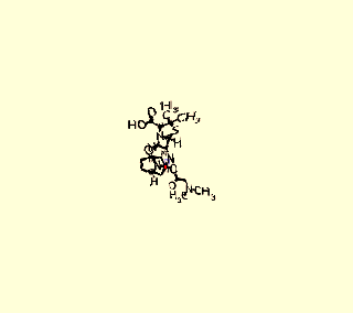 CN(C)CC(=O)O[C@H]1C[C@H]2CC[C@@H](C1)N2/C=N\[C@@H]1C(=O)N2[C@@H]1SC(C)(C)[C@@H]2C(=O)O